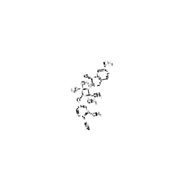 Cc1ccc2c(c1)C(=O)N([C@H]1C(C)(C)[C@H](Oc3ccc(C#N)c(C)c3)C1(C)C)C2